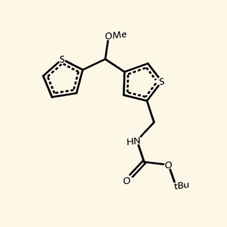 COC(c1csc(CNC(=O)OC(C)(C)C)c1)c1cccs1